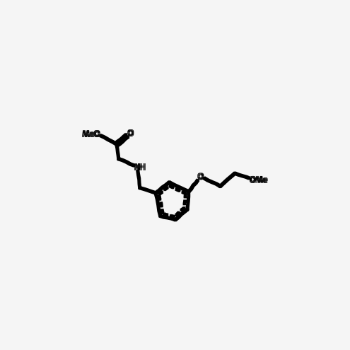 COCCOc1cccc(CNCC(=O)OC)c1